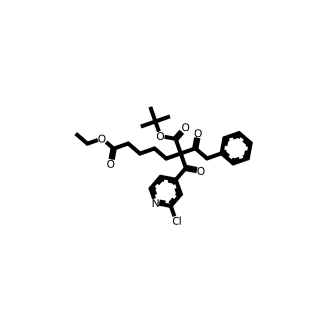 CCOC(=O)CCCCC(C(=O)Cc1ccccc1)(C(=O)OC(C)(C)C)C(=O)c1ccnc(Cl)c1